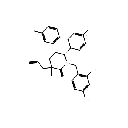 C=CCC1(C)C[C@H](c2cccc(Cl)c2)[C@@H](C2C=CC(Cl)=CC2)N(Cc2ccc(OC)cc2OC)C1=O